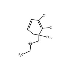 CC1(CNCC(F)(F)F)CC=CC(Cl)=C1Cl